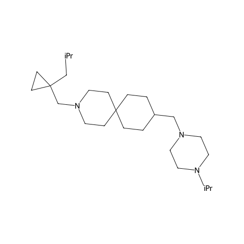 CC(C)CC1(CN2CCC3(CCC(CN4CCN(C(C)C)CC4)CC3)CC2)CC1